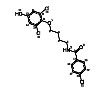 O=C(NCCCCOc1c(Cl)cc(O)cc1Cl)c1ccc(Cl)cc1